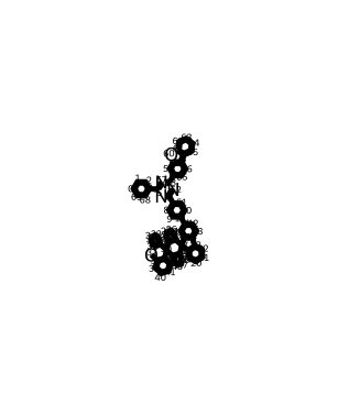 c1ccc(-c2nc(-c3ccc(-c4ccc5c(c4)C4(c6ccccc6-5)c5ccccc5C5(c6ccccc6Oc6ccccc65)c5ccccc54)cc3)nc(-c3ccc4c(c3)oc3ccccc34)n2)cc1